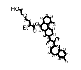 CCC(CCOCCO)C(=O)O[C@@H]1CC2CC(C(C)C(=O)C3=CCCC4C=C(C)C=CC4=N3)CCC2C2C(C)CCCC21